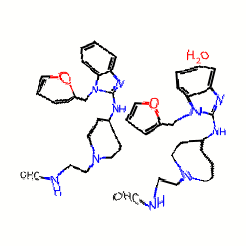 O.O=CNCCN1CCC(Nc2nc3ccccc3n2Cc2ccco2)CC1.O=CNCCN1CCC(Nc2nc3ccccc3n2Cc2ccco2)CC1